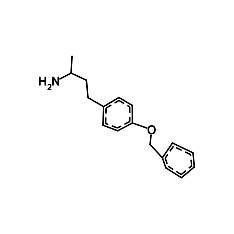 CC(N)CCc1ccc(OCc2ccccc2)cc1